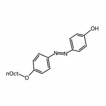 CCCCCCCCOc1ccc(N=Nc2ccc(O)cc2)cc1